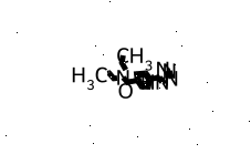 CCCN(CCC)C(=O)c1ccc(-c2nnn[nH]2)cc1